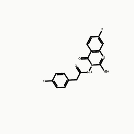 CC(C)(C)c1nc2cc(F)ccc2c(=O)n1NC(=O)Cc1ccc(F)cc1